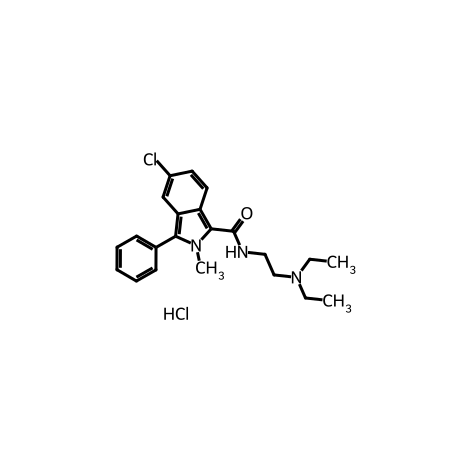 CCN(CC)CCNC(=O)c1c2ccc(Cl)cc2c(-c2ccccc2)n1C.Cl